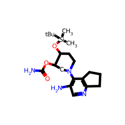 CC(C)(C)[Si](C)(C)OC1CCN(c2c(N)cnc3c2CCC3)CC1OC(N)=O